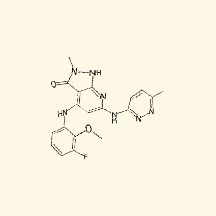 COc1c(F)cccc1Nc1cc(Nc2ccc(C)nn2)nc2[nH]n(C)c(=O)c12